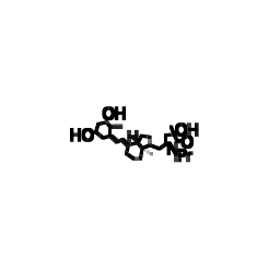 C=C1/C(=C\C=C2/CCC[C@]3(C)C(CC4CC(C)(O)C(=O)N4C(C)C)CC[C@@H]23)C[C@@H](O)C[C@@H]1O